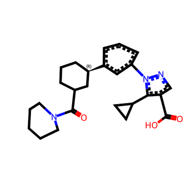 O=C(O)c1cnn(-c2cccc([C@@H]3CCCC(C(=O)N4CCCCC4)C3)c2)c1C1CC1